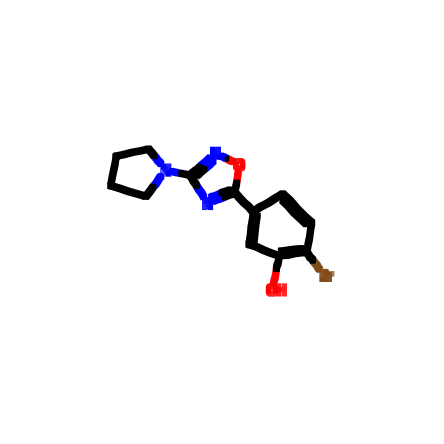 Oc1cc(-c2nc(N3CCCC3)no2)ccc1Br